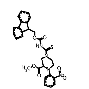 COC(=O)C1CN(C(=S)NC(=O)OCC2c3ccccc3-c3ccccc32)CCN1c1ccccc1[N+](=O)[O-]